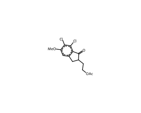 COc1cc2c(c(Cl)c1Cl)C(=O)C(CCOC(C)=O)C2